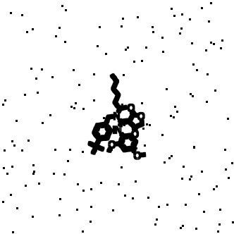 CCCCCC(C)N(Cc1ccc(C(C)(C)C)cc1)C(Nc1ccc(OC)cc1OC)=C1C(=O)COC1=O